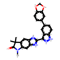 CCN1C(=O)C(C)(C)c2cc3nc(-c4n[nH]c5ccc(-c6ccc7c(c6)OCO7)cc45)[nH]c3cc21